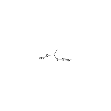 CCCOC(C)N=[N+]=[N-]